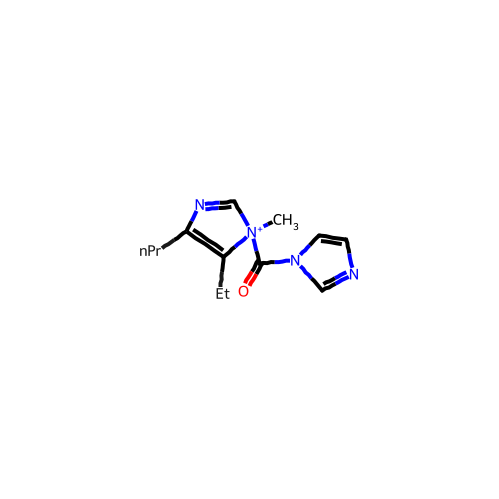 CCCC1=C(CC)[N+](C)(C(=O)n2ccnc2)C=N1